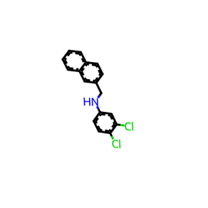 Clc1ccc(NCc2ccc3ccccc3c2)cc1Cl